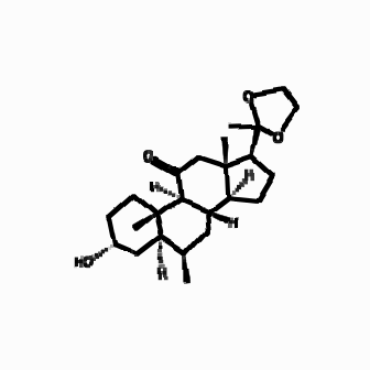 C[C@@H]1C[C@H]2[C@@H]3CC[C@H](C4(C)OCCO4)[C@@]3(C)CC(=O)[C@@H]2[C@@]2(C)CC[C@@H](O)C[C@H]12